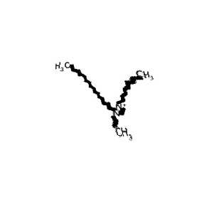 CCCCCCCCCCCCCCCCCc1n(CCCC)cc[n+]1CCCCCCCCCCC